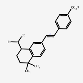 CCC(CC)C1CCC(C)(C)c2ccc(/C=C/c3ccc(C(=O)O)cc3)cc21